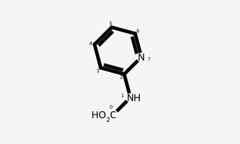 O=C(O)Nc1ccccn1